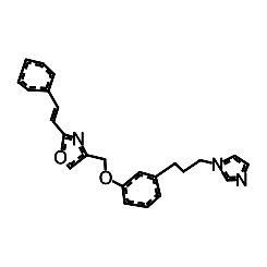 C(=Cc1nc(COc2cccc(CCCn3ccnc3)c2)co1)c1ccccc1